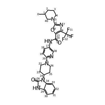 CC1CCCN(c2nc(C(F)(F)F)c(C(=O)Nc3ccc(N4CCC(n5c(=O)[nH]c6ccccc65)CC4)nc3)o2)C1